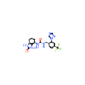 O=C(NCc1ccc(C(F)(F)F)cc1-n1cncn1)Nc1cccc2[nH]c(=O)[nH]c12